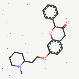 CN1CCCCC1CCOc1ccc2c(c1)OC(c1ccccc1)C(=O)C2